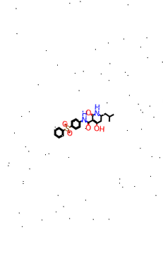 CC(C)CC1CC(O)=C(C(=O)Nc2ccc(S(=O)(=O)c3ccccc3)cc2)C(=O)N1